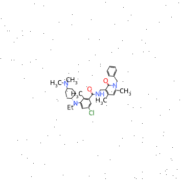 CCN(c1cc(Cl)cc(C(=O)NCc2c(C)cc(C)n(Cc3ccccc3)c2=O)c1C)[C@H]1CC[C@H](N(C)C)CC1